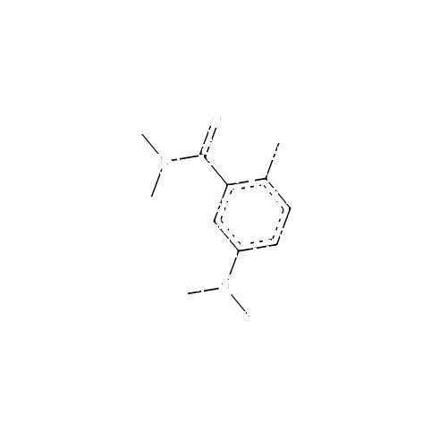 Cc1ccc(N(C)C)cc1C(=O)N(C)C